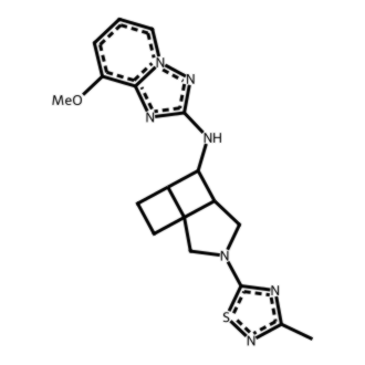 COc1cccn2nc(NC3C4CCC45CN(c4nc(C)ns4)CC35)nc12